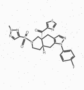 Cn1ncc(S(=O)(=O)N2CC[C@H]3Cc4c(cnn4-c4ccc(F)cc4)C[C@]3(C(=O)c3cscn3)C2)n1